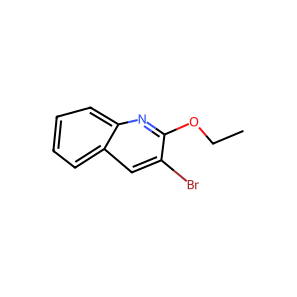 CCOc1nc2ccccc2cc1Br